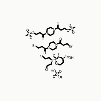 CS(=O)(=O)OCCC(=O)N1CCN(C(=O)CCOS(C)(=O)=O)CC1.O=C(CCBr)N1CCN(C(=O)CCBr)CC1.O=S(=O)(O)O.O=[P@@]1(N(CCCl)CCCl)N[C@@H](OO)CCO1